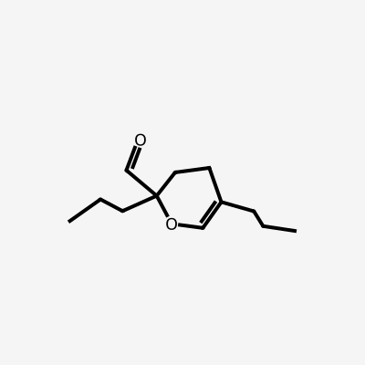 CCCC1=COC(C=O)(CCC)CC1